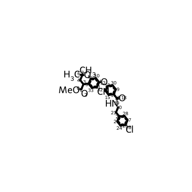 COC(=O)C1CC(C)(C)Oc2cc(Oc3ccc(C(=O)NCCc4ccc(Cl)cc4)cc3)c(C#N)cc21